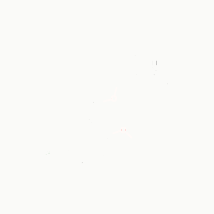 COc1ccc(Br)cc1COCC(C)(C)[SiH](C)C